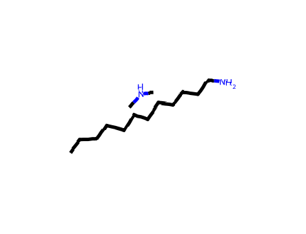 CCCCCCCCCCCCN.CNC